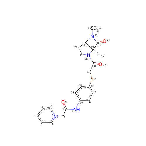 O=C(C[n+]1ccccc1)Nc1ccc(SCC(=O)N2CCC3[C@H]2C(=O)N3S(=O)(=O)O)cc1